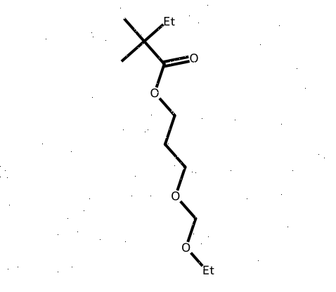 CCOCOCCCOC(=O)C(C)(C)CC